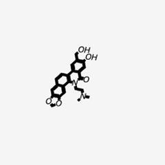 CN(C)CCn1c(=O)c2cc(O)c(CO)cc2c2ccc3cc4c(cc3c21)OCO4